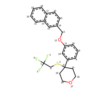 FC(F)(F)CSC1(c2cccc(OCc3ccc4ccccc4c3)c2)CCOCC1